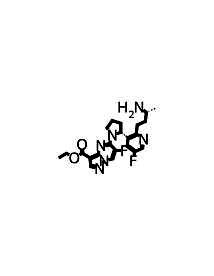 CCOC(=O)c1cnn2cc(F)c(N3CCC[C@@H]3c3cc(F)cnc3CC[C@@H](C)N)nc12